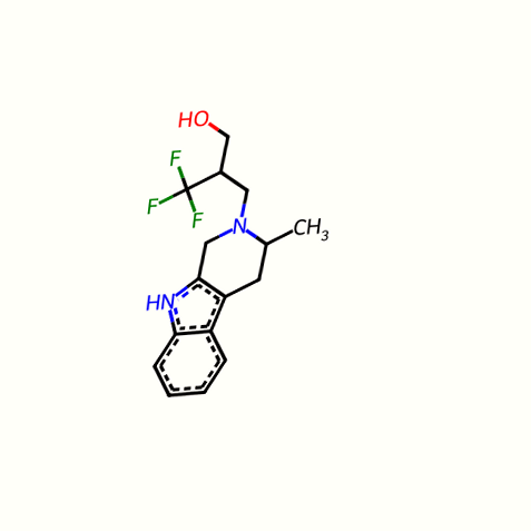 CC1Cc2c([nH]c3ccccc23)CN1CC(CO)C(F)(F)F